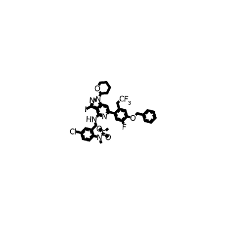 CN(c1ccc(Cl)cc1CNc1nc(-c2cc(F)c(OCc3ccccc3)cc2CC(F)(F)F)cc2c1c(I)nn2C1CCCCO1)S(C)(=O)=O